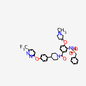 CN1CC[C@@H](Oc2ccc(C(=O)N3CCC(c4ccc(Oc5ccc(C(F)(F)F)nn5)cc4)CC3)cc2NS(=O)(=O)Cc2ccccc2)C1